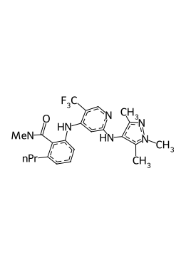 CCCc1cccc(Nc2cc(Nc3c(C)nn(C)c3C)ncc2C(F)(F)F)c1C(=O)NC